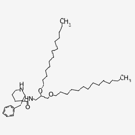 CCCCCCCCCCCCCCOCC(CNC(=O)C1(Cc2ccccc2)CCCNC1)OCCCCCCCCCCCCCC